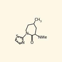 CNC1CC(C)CCN(c2nccs2)C1=O